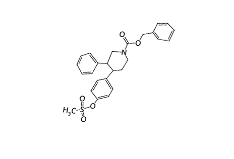 CS(=O)(=O)Oc1ccc(C2CCN(C(=O)OCc3ccccc3)CC2c2ccccc2)cc1